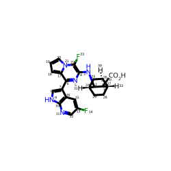 O=C(O)[C@@H]1C(Nc2nc(-c3c[nH]c4ncc(F)cc34)c3cccn3c2F)[C@H]2CC[C@@H]1CC2